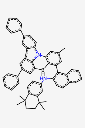 Cc1cc(-c2c(Nc3ccc4c(c3)C(C)(C)CCC4(C)C)ccc3ccccc23)c2c(c1)-n1c3ccc(-c4ccccc4)cc3c3cc(-c4ccccc4)cc(c31)B2